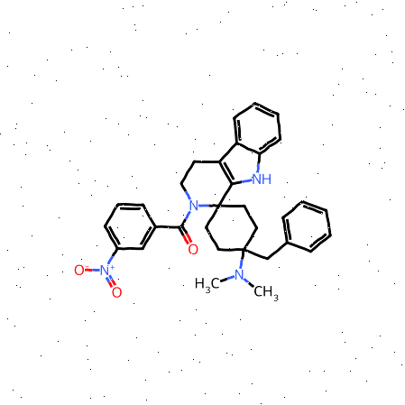 CN(C)C1(Cc2ccccc2)CCC2(CC1)c1[nH]c3ccccc3c1CCN2C(=O)c1cccc([N+](=O)[O-])c1